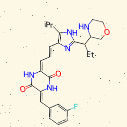 CCC(c1nc(C=CC=c2[nH]c(=O)c(=Cc3cccc(F)c3)[nH]c2=O)c(C(C)C)[nH]1)C1COCCN1